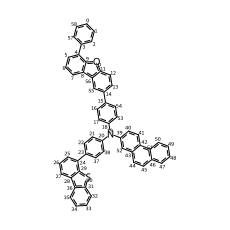 c1ccc(-c2cccc3c2oc2ccc(-c4ccc(N(c5ccc(-c6cccc7c6sc6ccccc67)cc5)c5ccc6c(ccc7ccccc76)c5)cc4)cc23)cc1